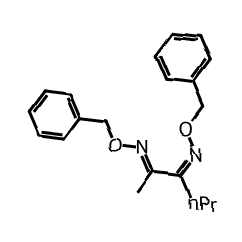 CCCC(=NOCc1ccccc1)C(C)=NOCc1ccccc1